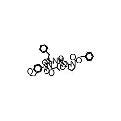 CC(CS(=O)(=O)C[C@@H]1CCCN1C(=O)OCc1ccccc1)C(=O)N([C@H](N)[C@@H](C)Cc1ccccc1)S(=O)(=O)c1ccc2c(c1)CCO2